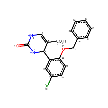 O=C1NC=C(C(=O)O)C(c2cc(Br)ccc2OCc2ccccc2)N1